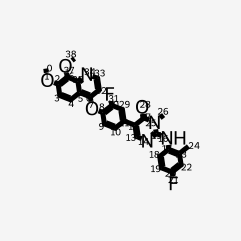 COc1ccc2c(Oc3ccc(-c4cnc(Nc5ccc(F)cc5C)n(C)c4=O)cc3F)ccnc2c1OC